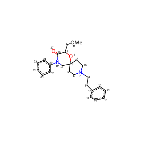 COCC1OC2(CCN(CCc3ccccc3)CC2)CN(c2ccccc2)C1=O